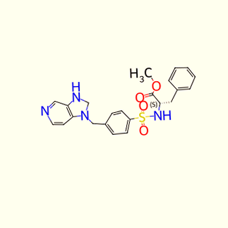 COC(=O)[C@H](Cc1ccccc1)NS(=O)(=O)c1ccc(CN2CNc3cnccc32)cc1